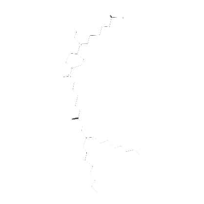 CCCCCCCCC(CCCCCCCC)COC(=O)CCCCCN(C)C1CCC(N(CCO)CCCCCC(=O)O)CC1